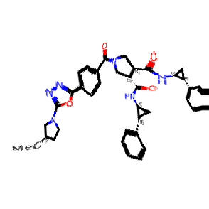 CO[C@@H]1CCN(c2nnc(-c3ccc(C(=O)N4C[C@@H](C(=O)N[C@H]5C[C@@H]5c5ccccc5)[C@H](C(=O)N[C@H]5C[C@@H]5c5ccccc5)C4)cc3)o2)C1